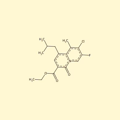 CCOC(=O)c1cc(CC(C)C)c2c(C)c(Cl)c(F)cn2c1=O